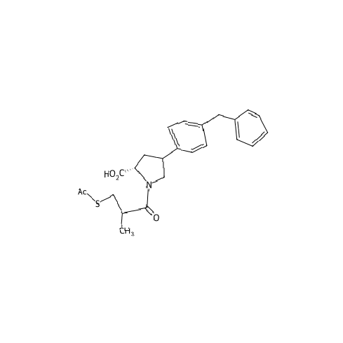 CC(=O)SCC(C)C(=O)N1CC(c2ccc(Cc3ccccc3)cc2)C[C@H]1C(=O)O